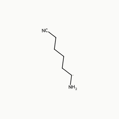 N#CCCCC[CH]N